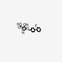 O=C(O)[C@@H]1NC[C@H](OCc2ccc(-c3ccccc3F)cc2)[C@H]1O